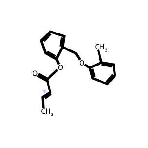 C/C=C/C(=O)Oc1ccccc1COc1ccccc1C